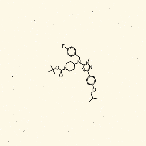 CC(C)COc1ccc(-c2nc(N(Cc3ccc(F)cc3)C3CCN(C(=O)OC(C)(C)C)CC3)n(C)n2)cc1